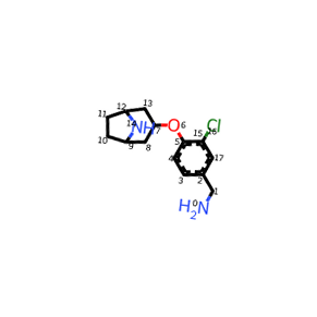 NCc1ccc(OC2CC3CCC(C2)N3)c(Cl)c1